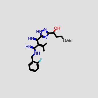 COCCC(O)c1n[nH]c(C(=N)C(C(=N)NCc2ccccc2F)=C(C)C)n1